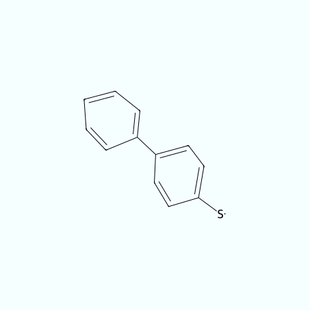 [S]c1ccc(-c2ccccc2)cc1